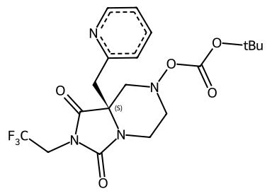 CC(C)(C)OC(=O)ON1CCN2C(=O)N(CC(F)(F)F)C(=O)[C@]2(Cc2ccccn2)C1